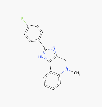 CN1Cc2nc(-c3ccc(F)cc3)[nH]c2-c2ccccc21